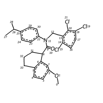 COc1ccc2c(c1)C(C(=O)N(Cc1c(Cl)ccc(Cl)c1Cl)c1ccc(C(C)C)cc1)CCC2